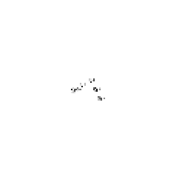 [N-3].[N-3].[Sr+2].[Sr+2].[Sr+2]